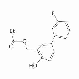 CCC(=O)OCc1cc(-c2cccc(F)c2)ccc1O